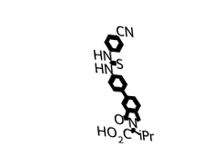 CC(C)[C@@H](C(=O)O)N1Cc2ccc(-c3ccc(NC(=S)Nc4ccc(C#N)cc4)cc3)cc2C1=O